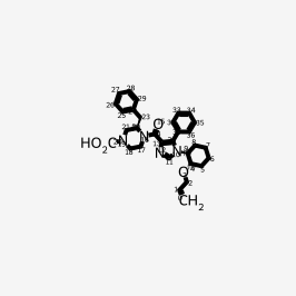 C=CCO[C@H]1CCCC[C@@H]1n1cnc(C(=O)N2CCN(C(=O)O)C[C@H]2Cc2ccccc2)c1-c1ccccc1